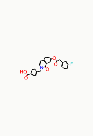 O=C(Cc1cccc(F)c1)Oc1ccc2ccn(Cc3ccc(C(=O)O)cc3)c(=O)c2c1